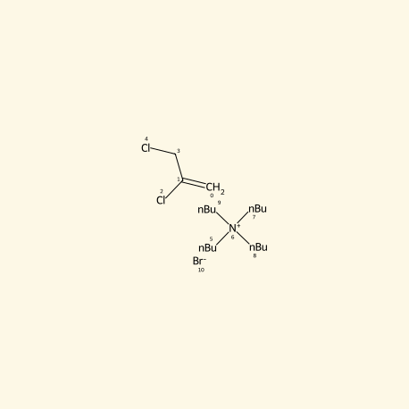 C=C(Cl)CCl.CCCC[N+](CCCC)(CCCC)CCCC.[Br-]